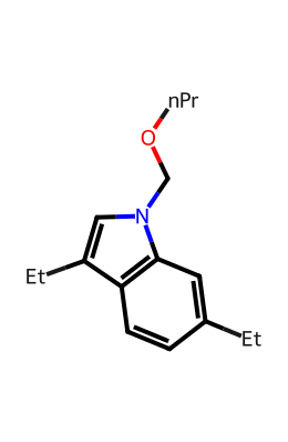 CCCOCn1cc(CC)c2ccc(CC)cc21